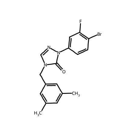 Cc1cc(C)cc(Cn2cnn(-c3ccc(Br)c(F)c3)c2=O)c1